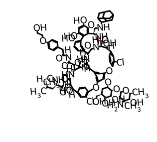 CN[C@H](CC(C)C)C(=O)N[C@H]1C(=O)N[C@@H](CC(=O)NC(=O)Cc2ccc(OCCO)cc2)C(=O)N[C@H]2C(=O)N[C@H]3C(=O)N[C@H](C(=O)N[C@H](C(=O)NC4C5CC6CC(C5)CC4C6)c4cc(O)cc(O)c4-c4cc3ccc4O)[C@H](O)c3ccc(c(Cl)c3)Oc3cc2cc(c3O[C@@H]2C[C@H](CO)[C@@H](O)[C@H](O)[C@H]2O[C@H]2C[C@](C)(N)[C@H](O)[C@H](C)O2)Oc2ccc(cc2Cl)[C@H]1O